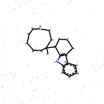 CC1(C2CCCC3=C2[N]c2ccccc23)CCCCCCCC1